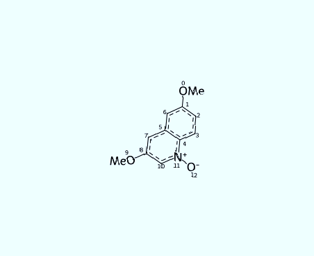 COc1ccc2c(c1)cc(OC)c[n+]2[O-]